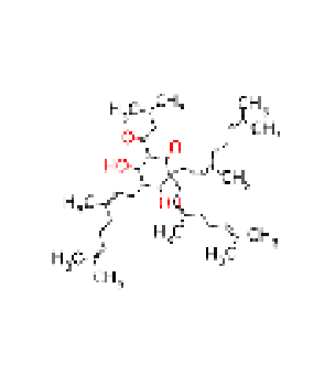 CC(C)=CCCC(C)=CCC1C(O)C(C(=O)CC(C)C)C(=O)C(CC=C(C)CCC=C(C)C)(CC=C(C)CCC=C(C)C)C1O